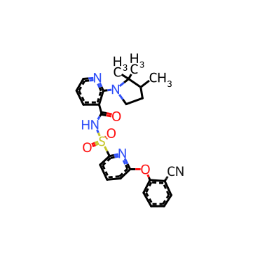 CC1CCN(c2ncccc2C(=O)NS(=O)(=O)c2cccc(Oc3ccccc3C#N)n2)C1(C)C